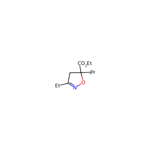 CCOC(=O)C1(C(C)C)CC(CC)=NO1